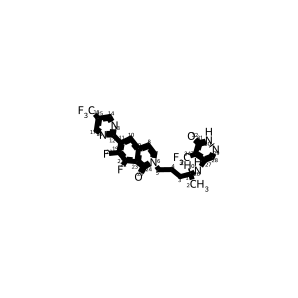 [2H][C@](C)(CCCn1ccc2cc(-c3ncc(C(F)(F)F)cn3)c(F)c(F)c2c1=O)Nc1cn[nH]c(=O)c1C(F)(F)F